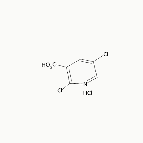 Cl.O=C(O)c1cc(Cl)cnc1Cl